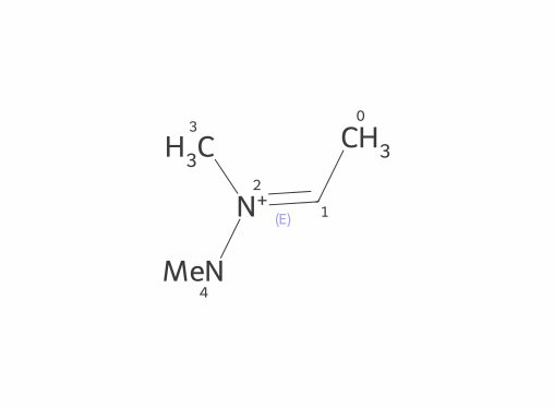 C/C=[N+](\C)NC